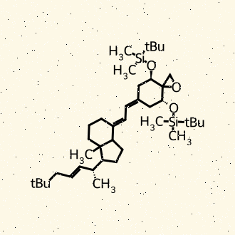 C[C@H](/C=C/CC(C)(C)C)C1CCC2/C(=C/C=C3C[C@@H](O[Si](C)(C)C(C)(C)C)C4(CO4)[C@H](O[Si](C)(C)C(C)(C)C)C3)CCCC21C